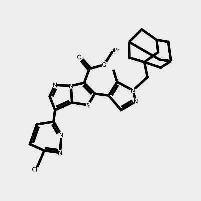 Cc1c(-c2sc3c(-c4ccc(Cl)nn4)cnn3c2C(=O)OC(C)C)cnn1CC12CC3CC(CC(C3)C1)C2